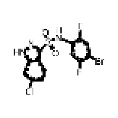 O=S(=O)(Nc1cc(F)c(Br)cc1F)c1n[nH]c2cc(Cl)ccc12